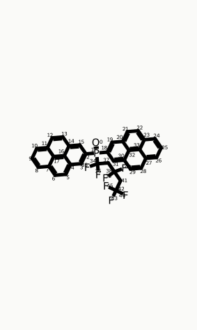 O=P(c1cc2ccc3cccc4ccc(c1)c2c34)(c1cc2ccc3cccc4ccc(c1)c2c34)C(F)(F)CC(F)(F)CC(F)(F)F